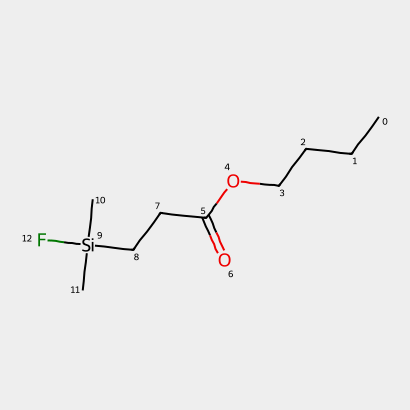 CCCCOC(=O)CC[Si](C)(C)F